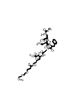 CCC(C)(C)C(=O)C(CCCCNC(=O)CCOCCOCCOC)NC(=O)CNC(=O)C(Cc1ccccc1)NC(=O)C(CC(C)C)NC(=O)CNC(=O)OC(C)(C)C